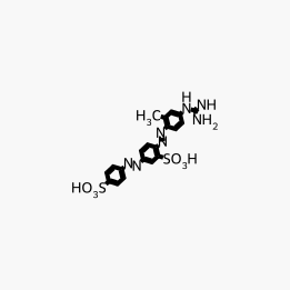 Cc1cc(NC(=N)N)ccc1N=Nc1ccc(N=Nc2ccc(S(=O)(=O)O)cc2)cc1S(=O)(=O)O